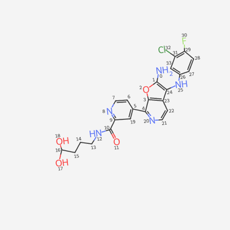 Nc1oc2c(-c3ccnc(C(=O)NCCCC(O)O)c3)nccc2c1Nc1ccc(F)c(Cl)c1